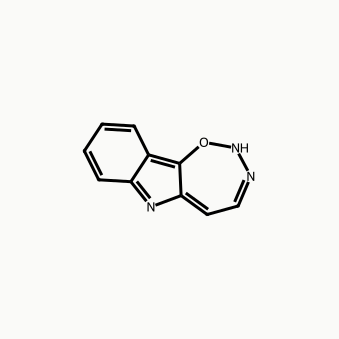 C1=NNOC2=c3ccccc3=NC2=C1